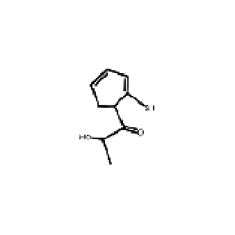 CC(O)C(=O)C1CC=CC=C1S